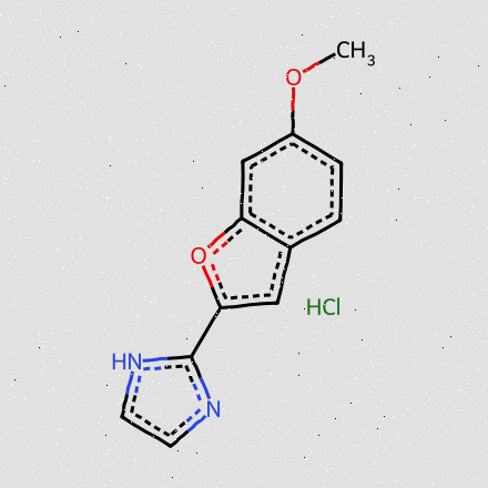 COc1ccc2cc(-c3ncc[nH]3)oc2c1.Cl